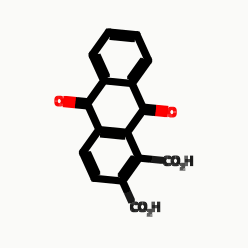 O=C(O)c1ccc2c(c1C(=O)O)C(=O)c1ccccc1C2=O